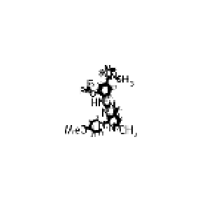 COC1CCN(c2nc(C)cc3cnc(Nc4ccc(-c5nncn5C)cc4OC(F)F)nc23)CC1